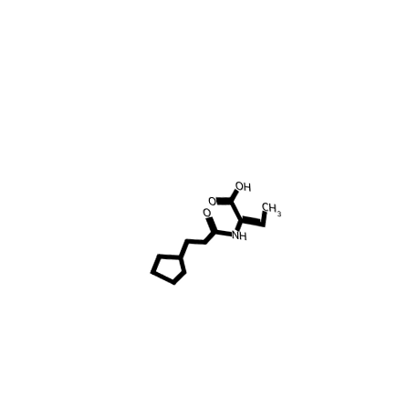 CC=C(NC(=O)CCC1CCCC1)C(=O)O